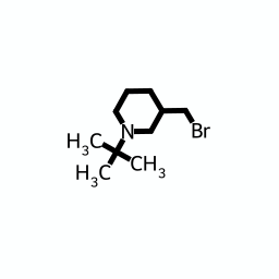 CC(C)(C)N1CCCC(CBr)C1